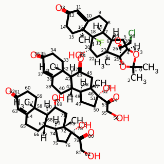 CC1(C)O[C@@H]2C[C@H]3[C@@H]4CCC5=CC(=O)CC[C@]5(C)[C@@]4(F)[C@@H](O)C[C@]3(C)[C@]2(C(=O)CCl)O1.C[C@]12CCC(=O)C=C1CC[C@@H]1[C@@H]2C(=O)C[C@@]2(C)[C@H]1CC[C@]2(O)C(=O)CO.C[C@]12CCC(=O)C=C1CC[C@@H]1[C@@H]2[C@@H](O)C[C@@]2(C)[C@H]1CC[C@]2(O)C(=O)CO